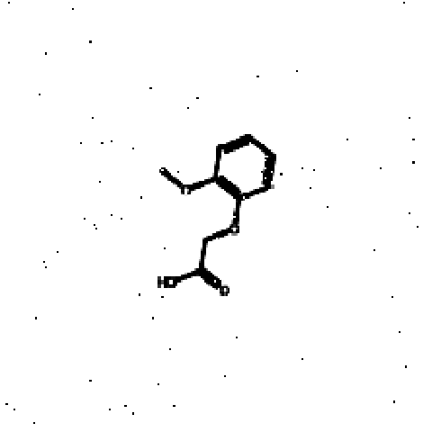 COc1ccc[c]c1OCC(=O)O